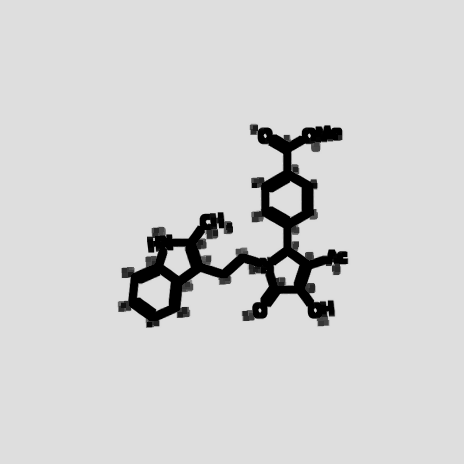 COC(=O)c1ccc(C2C(C(C)=O)=C(O)C(=O)N2CCc2c(C)[nH]c3ccccc23)cc1